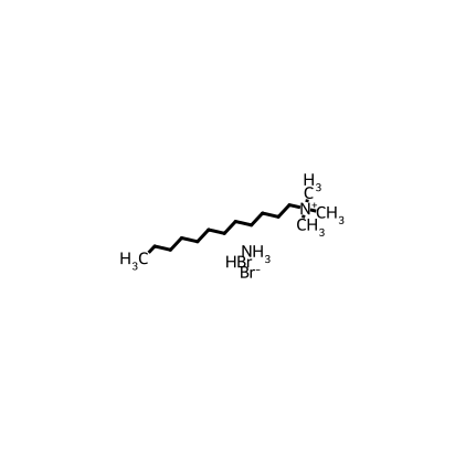 Br.CCCCCCCCCCCC[N+](C)(C)C.N.[Br-]